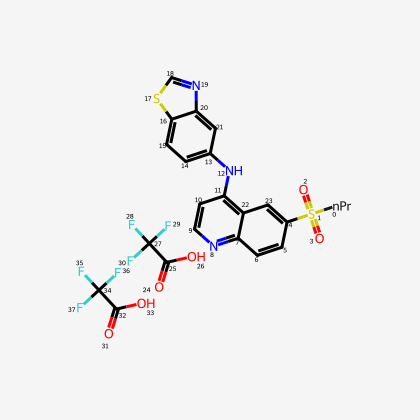 CCCS(=O)(=O)c1ccc2nccc(Nc3ccc4scnc4c3)c2c1.O=C(O)C(F)(F)F.O=C(O)C(F)(F)F